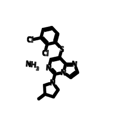 CC1CCN(c2ncc(Sc3cccc(Cl)c3Cl)c3nccn23)C1.N